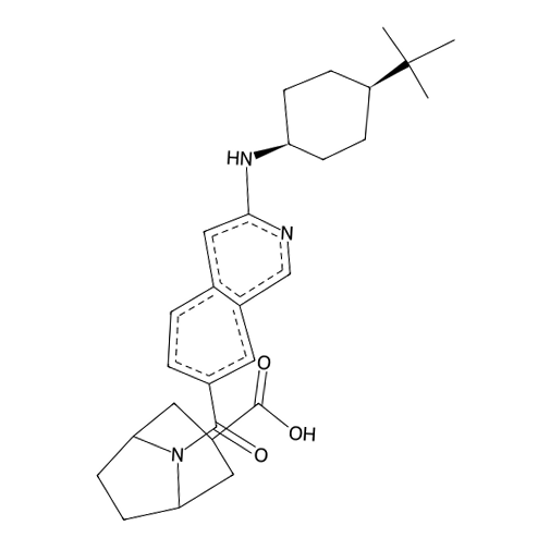 CC(C)(C)[C@H]1CC[C@@H](Nc2cc3ccc(C(=O)N4C5CCC4CC(C(=O)O)C5)cc3cn2)CC1